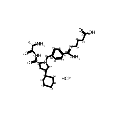 C[C@H](N)C(=O)NC(=O)[C@@H]1CC(C2CCCCC2)CN1Cc1ccc(C(N)=NCCCC(=O)O)cc1.Cl